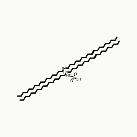 CCCCCCCCC=CCCCCCCCCNCCCCCCCCCCCCCCCC.CCCCCCCCC=CCCCCCCCCNCCCCCCCCCCCCCCCC.O=S(=O)(O)O